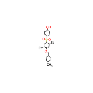 CCc1cc(S(=O)(=O)c2ccc(O)cc2)c(CC)cc1OCc1ccc(C)cc1